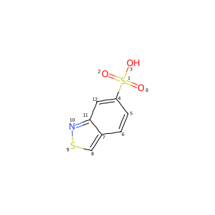 O=S(=O)(O)c1ccc2csnc2c1